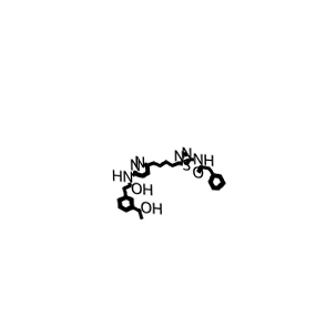 CC(O)c1cccc(CC(O)Nc2ccc(CCCCc3nnc(NC(=O)Cc4ccccc4)s3)nn2)c1